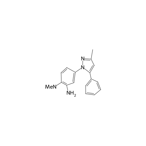 CNc1ccc(-n2nc(C)cc2-c2ccccc2)cc1N